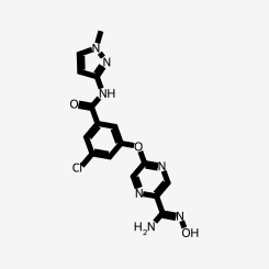 Cn1ccc(NC(=O)c2cc(Cl)cc(Oc3cnc(/C(N)=N/O)cn3)c2)n1